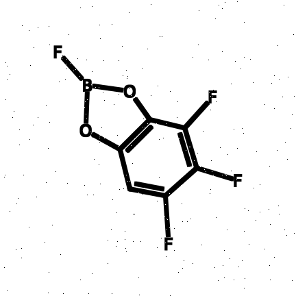 FB1Oc2cc(F)c(F)c(F)c2O1